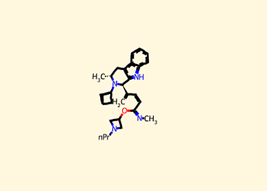 C=C(/C=C\C(=N/C)OC1CN(CCC)C1)[C@@H]1c2[nH]c3ccccc3c2C[C@@H](C)N1C12CC(C1)C2